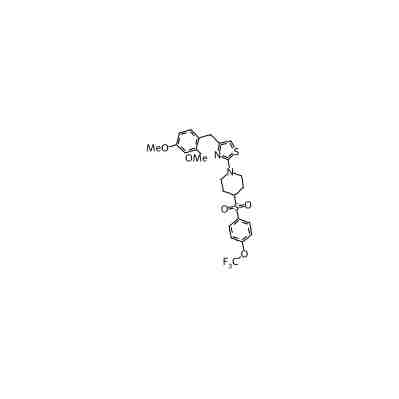 COc1ccc(Cc2csc(N3CCC(S(=O)(=O)c4ccc(OC(F)(F)F)cc4)CC3)n2)c(OC)c1